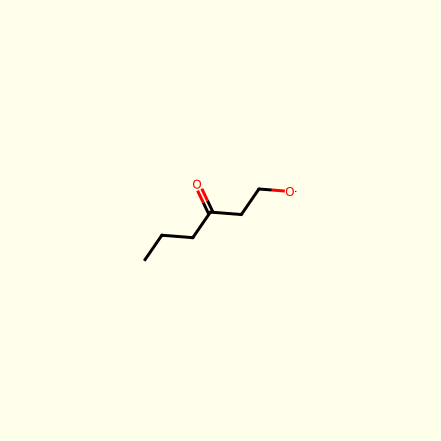 CCCC(=O)CC[O]